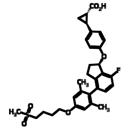 Cc1cc(OCCCCS(C)(=O)=O)cc(C)c1-c1ccc(F)c2c1CC[C@H]2Oc1ccc([C@H]2C[C@@H]2C(=O)O)cc1